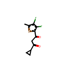 Cc1sc(C(=O)CC(=O)C2CC2)c(F)c1F